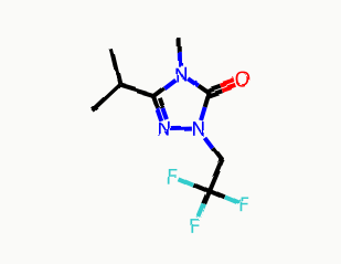 CC(C)c1nn(CC(F)(F)F)c(=O)n1C